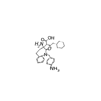 Nc1ccc(CN2C(=O)C(N)([C@H](CCC3CCCCC3)C(=O)O)CCc3ccccc32)cc1